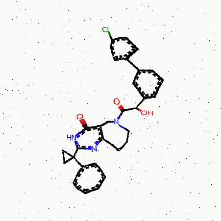 O=C(C(O)c1cccc(-c2ccc(Cl)cc2)c1)N1CCCc2nc(C3(c4ccccc4)CC3)[nH]c(=O)c2C1